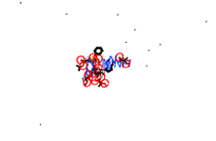 COC(C)C(=O)O[C@H]1[C@H](c2ccc3c(NC(=O)[C@@H](C)OC)ncnn23)O[C@](C#N)(CO[P@@](=O)(N[C@@H](C)C(=O)OC(C)C)Oc2ccccc2)[C@H]1OC(=O)[C@@H](C)OC